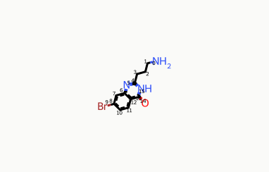 NCCCc1nc2cc(Br)ccc2c(=O)[nH]1